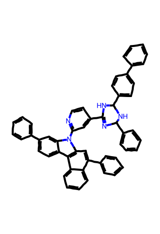 c1ccc(-c2ccc(C3NC(c4ccnc(-n5c6cc(-c7ccccc7)ccc6c6c7ccccc7c(-c7ccccc7)cc65)c4)=NC(c4ccccc4)N3)cc2)cc1